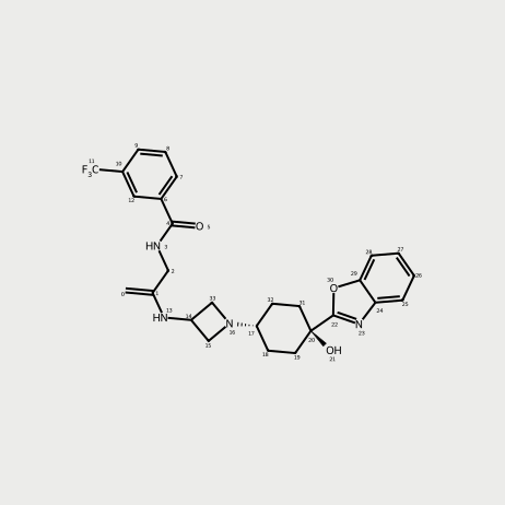 C=C(CNC(=O)c1cccc(C(F)(F)F)c1)NC1CN([C@H]2CC[C@@](O)(c3nc4ccccc4o3)CC2)C1